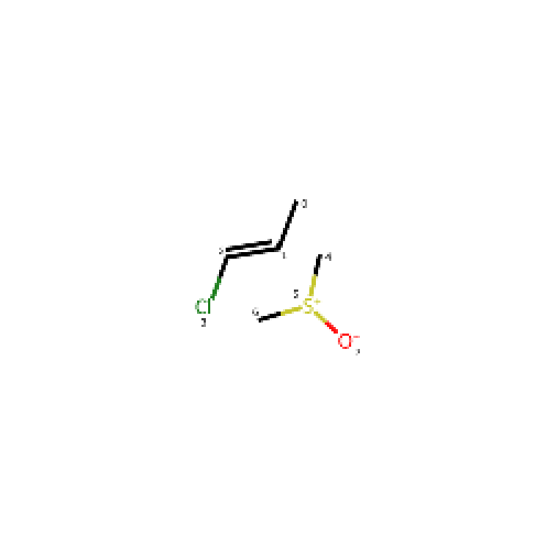 CC=CCl.C[S+](C)[O-]